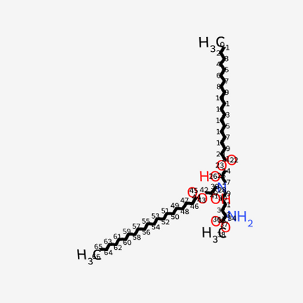 CCCCCCCCCCCCCCCCCCCCCC(=O)OCC(O)CN(CCCCC(N)C(=O)OC)CC(O)COC(=O)CCCCCCCCCCCCCCCCCCCCC